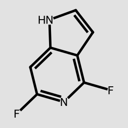 Fc1cc2[nH]ccc2c(F)n1